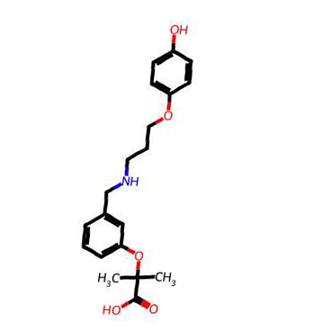 CC(C)(Oc1cccc(CNCCCOc2ccc(O)cc2)c1)C(=O)O